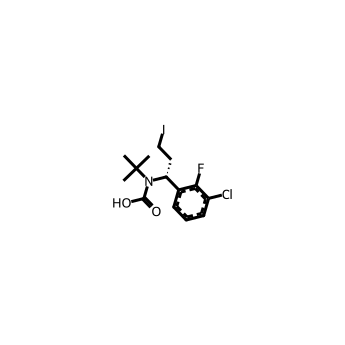 CC(C)(C)N(C(=O)O)[C@H](CCI)c1cccc(Cl)c1F